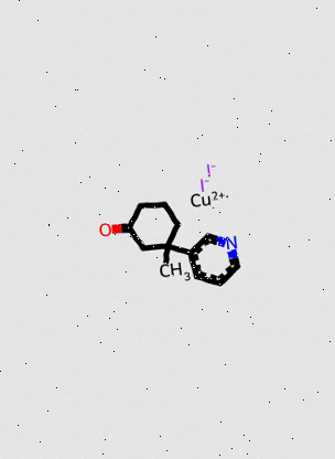 CC1(c2cccnc2)CCCC(=O)C1.[Cu+2].[I-].[I-]